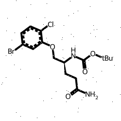 CC(C)(C)OC(=O)N[C@@H](CCC(N)=O)COc1cc(Br)ccc1Cl